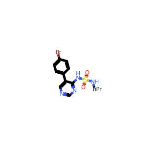 CCCNS(=O)(=O)Nc1ncncc1-c1ccc(Br)cc1